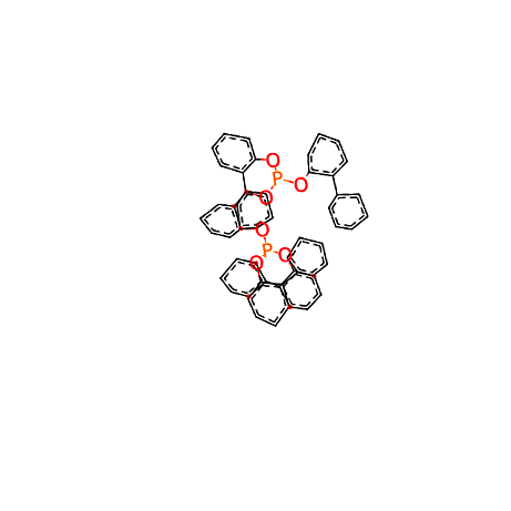 c1ccc(-c2ccccc2OP(OCc2ccccc2OP(Oc2ccccc2-c2ccccc2)Oc2ccccc2-c2ccccc2)Oc2ccccc2-c2ccccc2)cc1